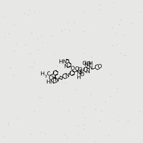 CC(C)c1ccccc1[C@@H]1CNCCN1C1CC2(CCN(c3ccc(C(=O)NS(=O)(=O)c4cnc(NCC5CCOCC5)c([N+](=O)[O-])c4)c(Oc4cnc5[nH]ccc5c4)c3)CC2)C1